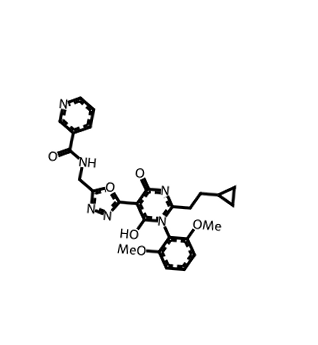 COc1cccc(OC)c1-n1c(CCC2CC2)nc(=O)c(-c2nnc(CNC(=O)c3cccnc3)o2)c1O